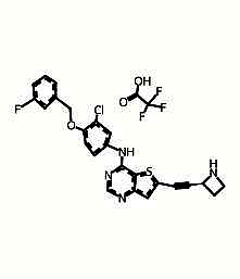 Fc1cccc(COc2ccc(Nc3ncnc4cc(C#C[C@@H]5CCN5)sc34)cc2Cl)c1.O=C(O)C(F)(F)F